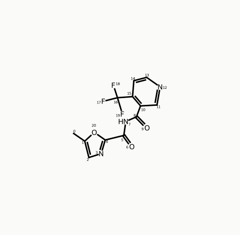 Cc1cnc(C(=O)NC(=O)c2cnccc2C(F)(F)F)o1